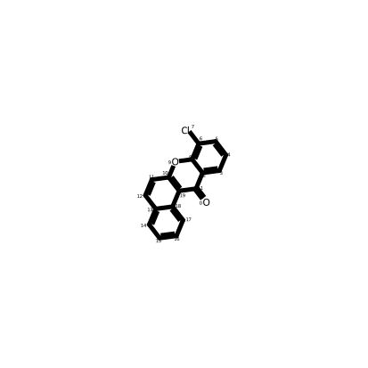 O=c1c2cccc(Cl)c2oc2ccc3ccccc3c12